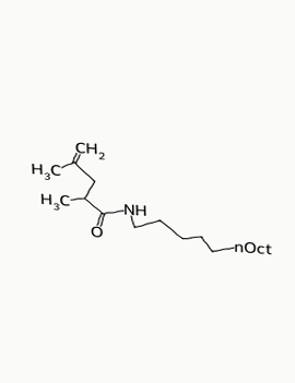 C=C(C)CC(C)C(=O)NCCCCCCCCCCCCC